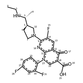 CCN[C@H](C)[C@@H]1CCN(c2nc3c(cc2F)c(=O)c(C(=O)O)cn3-c2ccc(F)cc2F)C1